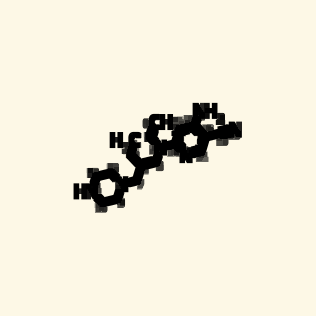 C=CN(/C=C(\CC)CN1CCNCC1)c1cc(N)c(C#N)cn1